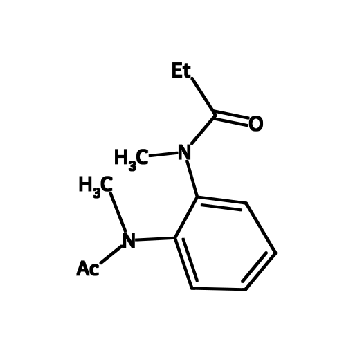 CCC(=O)N(C)c1ccccc1N(C)C(C)=O